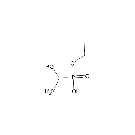 CCOP(=O)(O)C(N)O